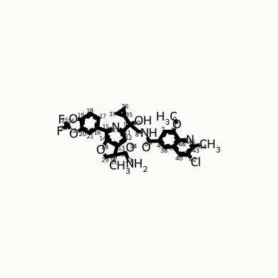 COc1cc(C(=O)NCC(O)(c2cc3c(c(-c4ccc5c(c4)OC(F)(F)O5)n2)OC[C@]3(C)C(N)=O)C2CC2)cc2cc(Cl)c(C)nc12